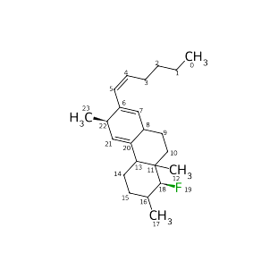 CCCC/C=C\C1=CC2CCC3(C)C(CCC(C)[C@@H]3F)C2=C[C@H]1C